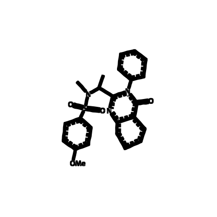 COc1ccc(S(=O)(=O)N(C)C(C)c2nc3ccccc3c(=O)n2-c2ccccc2)cc1